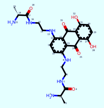 C[C@@H](N)C(=O)NCCNc1ccc(NCCNC(=O)[C@@H](C)N)c2c1C(=O)c1c(O)ccc(O)c1C2=O